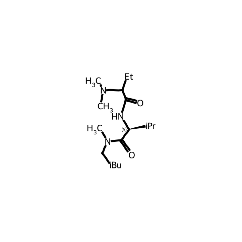 CCC(C)CN(C)C(=O)[C@@H](NC(=O)C(CC)N(C)C)C(C)C